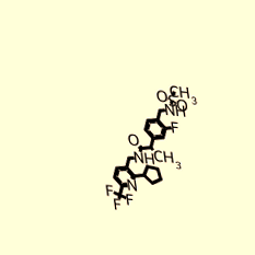 CC(C(=O)NCc1ccc(C(F)(F)F)nc1C1CCCC1)c1ccc(CNS(C)(=O)=O)c(F)c1